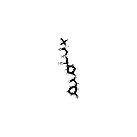 CC(C)(C)OC(=O)CNCC(O)c1ccc(OC(=O)Cc2cccc(F)c2)cc1